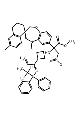 C=C[C@H](O[Si](c1ccccc1)(c1ccccc1)C(C)(C)C)[C@@H]1CC[C@H]1CN1C[C@@]2(CCCc3cc(Cl)ccc32)COc2ccc(C(O)(C[N+](=O)[O-])C(=O)OC)cc21